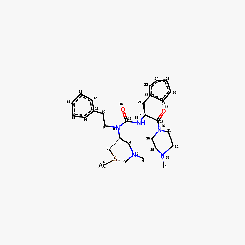 CC(=O)SC[C@@H](CN(C)C)N(CCc1ccccc1)C(=O)N[C@@H](Cc1ccccc1)C(=O)N1CCN(C)CC1